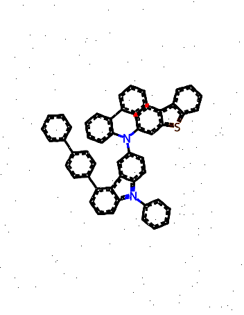 c1ccc(-c2ccc(-c3cccc4c3c3cc(N(c5ccc6c(c5)sc5ccccc56)c5ccccc5-c5ccccc5)ccc3n4-c3ccccc3)cc2)cc1